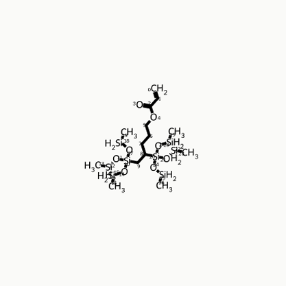 C=CC(=O)OCCCC(C[Si](O[SiH2]C)(O[SiH2]C)O[SiH2]C)[Si](O[SiH2]C)(O[SiH2]C)O[SiH2]C